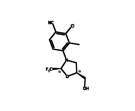 Cc1c(N2C[C@@H](CO)O[C@H]2C(F)(F)F)ccc(C#N)c1Cl